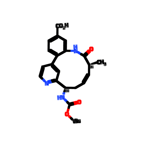 C[C@@H]1C=CC[C@H](NC(=O)OC(C)(C)C)c2cc(ccn2)-c2ccc(C(=O)O)cc2NC1=O